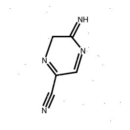 N#CC1=NCC(=N)N=C1